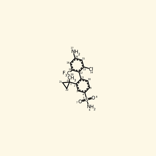 CC1(c2cc(S(N)(=O)=O)ccc2-c2c(Cl)cc(N)cc2C(F)(F)F)CC1